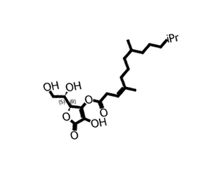 CC(=CCC(=O)OC1=C(O)C(=O)O[C@@H]1[C@@H](O)CO)CCCC(C)CCCC(C)C